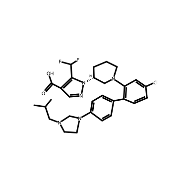 CC(C)CN1CCN(c2ccc(-c3ccc(Cl)cc3N3CCC[C@@H](n4ncc(C(=O)O)c4C(F)F)C3)cc2)C1